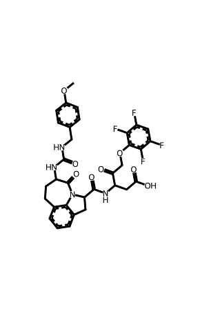 COc1ccc(CNC(=O)NC2CCc3cccc4c3N(C2=O)C(C(=O)NC(CC(=O)O)C(=O)COc2c(F)c(F)cc(F)c2F)C4)cc1